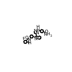 NC(=O)c1ccc(Nc2nccc(-c3c(-c4cccc(NC(=O)c5c(F)cccc5F)c4)nn4ccccc34)n2)cc1